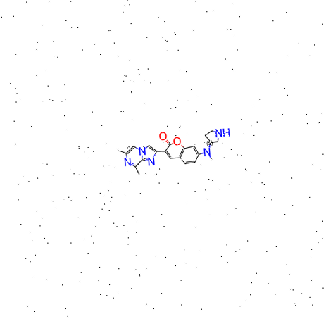 Cc1cn2cc(-c3cc4ccc(N(C)[C@H]5CCNC5)cc4oc3=O)nc2c(C)n1